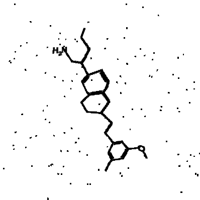 CCCC(CN)c1ccc2c(c1)CCC(CCc1cc(C)cc(OC)c1)C2